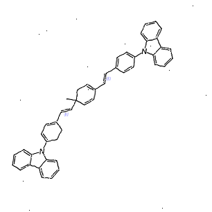 CC1(/C=C/C2=CC=C(n3c4ccccc4c4ccccc43)CC2)C=CC(/C=C/c2ccc(-n3c4ccccc4c4ccccc43)cc2)=CC1